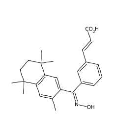 Cc1cc2c(cc1C(=NO)c1cccc(C=CC(=O)O)c1)C(C)(C)CCC2(C)C